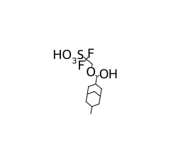 CC1CC2CC(C1)CC(C(O)OCC(F)(F)S(=O)(=O)O)C2